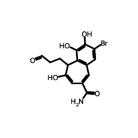 NC(=O)C1=Cc2cc(Br)c(O)c(O)c2C(CCC=O)C(O)=C1